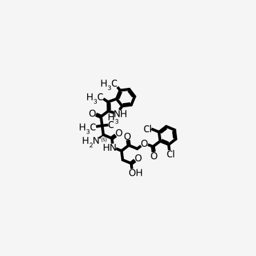 Cc1cccc2[nH]c(C(=O)C(C)(C)[C@H](N)C(=O)NC(CC(=O)O)C(=O)COC(=O)c3c(Cl)cccc3Cl)c(C)c12